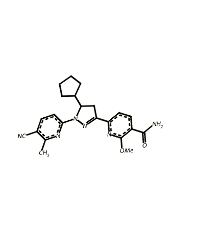 COc1nc(C2=NN(c3ccc(C#N)c(C)n3)C(C3CCCC3)C2)ccc1C(N)=O